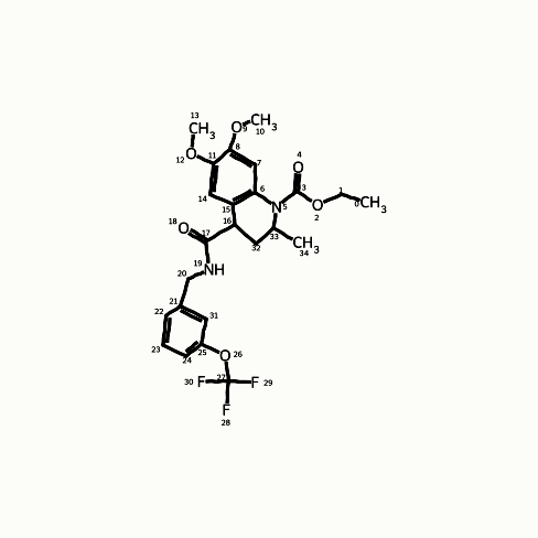 CCOC(=O)N1c2cc(OC)c(OC)cc2C(C(=O)NCc2cccc(OC(F)(F)F)c2)CC1C